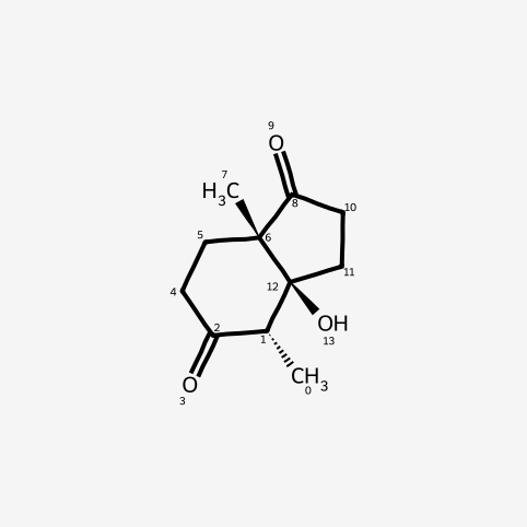 C[C@@H]1C(=O)CC[C@]2(C)C(=O)CC[C@]12O